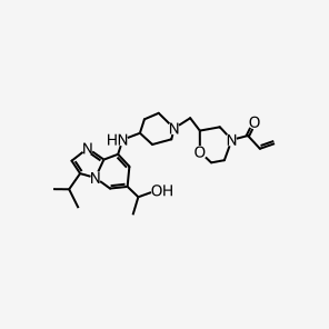 C=CC(=O)N1CCOC(CN2CCC(Nc3cc(C(C)O)cn4c(C(C)C)cnc34)CC2)C1